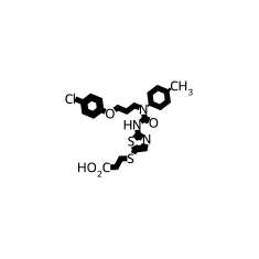 C[C@H]1CC[C@H](N(CCCOc2ccc(Cl)cc2)C(=O)Nc2ncc(SCCC(=O)O)s2)CC1